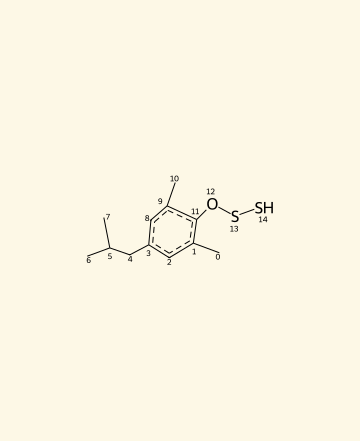 Cc1cc(CC(C)C)cc(C)c1OSS